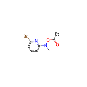 CCC(=O)ON(C)c1cccc(Br)n1